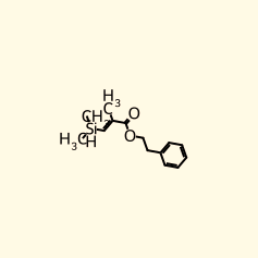 CC(=C[SiH](C)C)C(=O)OCCc1ccccc1